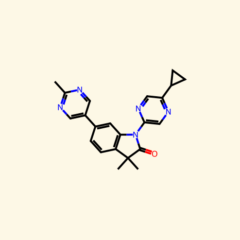 Cc1ncc(-c2ccc3c(c2)N(c2cnc(C4CC4)cn2)C(=O)C3(C)C)cn1